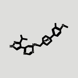 COc1ccc(C23CCC(CNc4cc(-c5c[nH]nc5C(C)C)ncn4)(CC2)CC3)cc1C